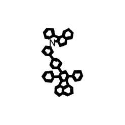 C1=c2ccc3c(c2=CCC1)c1ccccc1n3-c1cccc(-c2ccc(-c3cc(-c4ccccc4)c4c(c3-c3ccccc3)-c3cccc5cccc-4c35)cc2)c1